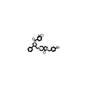 Cl.O=C(c1ccccc1)N1CC(CN2CCC3(CC2)CCN(Cc2ccc(Br)cc2)C3=O)C(c2ccccc2)C1